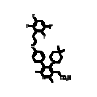 Cc1nc(C)c(-c2ccc(OCCc3c(F)c(F)cc(F)c3F)cc2)c(N2CCC(C)(C)CC2)c1CC(=O)O